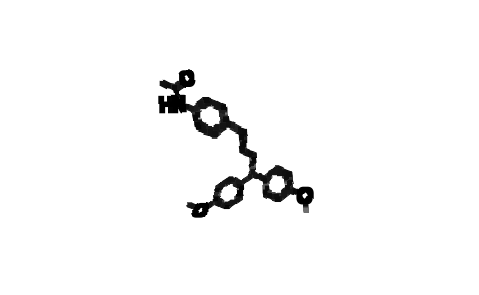 COc1ccc(C(=CC=Cc2ccc(NC(C)=O)cc2)c2ccc(OC)cc2)cc1